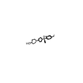 C#CC(O)(c1ccc(F)cc1)c1ccc(N2CCC(O)CC2)cc1